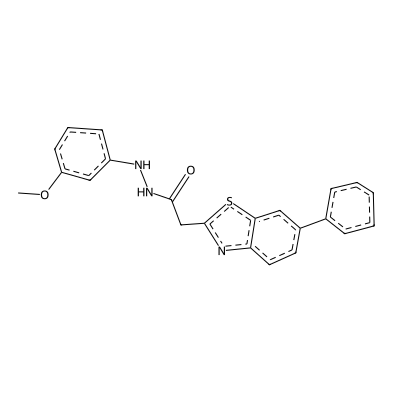 COc1cccc(NNC(=O)Cc2nc3ccc(-c4ccccc4)cc3s2)c1